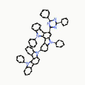 c1ccc(-c2nc(-c3ccccc3)nc(-c3cc4c(c5cc(-n6c7ccccc7c7c6ccc6c8ccccc8n(-c8ccccc8)c67)ccc5n4-c4ccccc4)c4c3c3ccccc3n4-c3ccccc3)n2)cc1